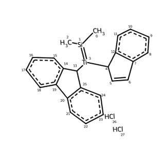 C[Si](C)=[Ti]([CH]1C=Cc2ccccc21)[CH]1c2ccccc2-c2ccccc21.Cl.Cl